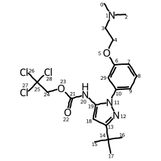 CN(C)CCOc1cccc(-n2nc(C(C)(C)C)cc2NC(=O)OCC(Cl)(Cl)Cl)c1